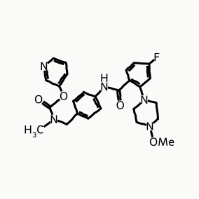 CON1CCN(c2cc(F)ccc2C(=O)Nc2ccc(CN(C)C(=O)Oc3cccnc3)cc2)CC1